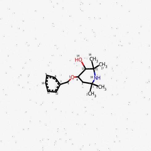 CC1(C)CC(OCc2ccccc2)C(O)C(C)(C)N1